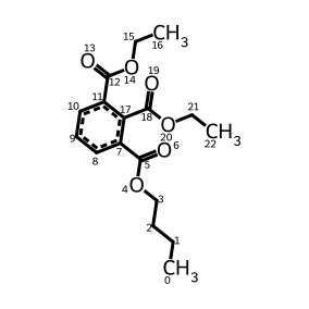 CCCCOC(=O)c1cccc(C(=O)OCC)c1C(=O)OCC